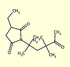 CCC1CC(=O)N(C(C)(C)CC(C)(C)C(C)=O)C1=O